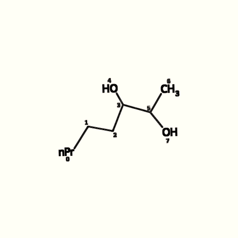 CCCCCC(O)C(C)O